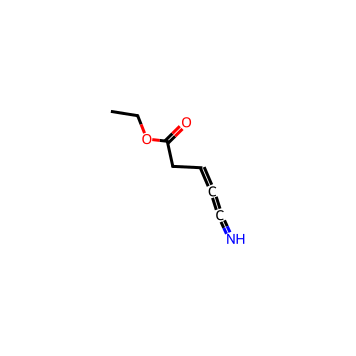 CCOC(=O)CC=C=C=N